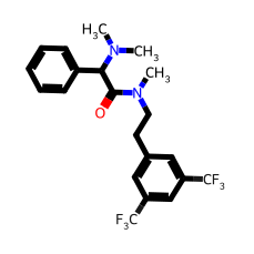 CN(CCc1cc(C(F)(F)F)cc(C(F)(F)F)c1)C(=O)C(c1ccccc1)N(C)C